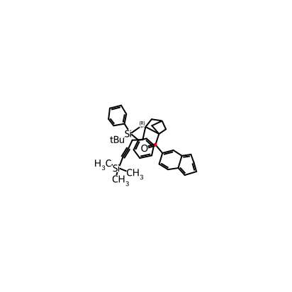 CC(C)(C)[Si](C[C@]1(CCC#C[Si](C)(C)C)CC2CC1(C(=O)c1ccc3ccccc3c1)C2)(c1ccccc1)c1ccccc1